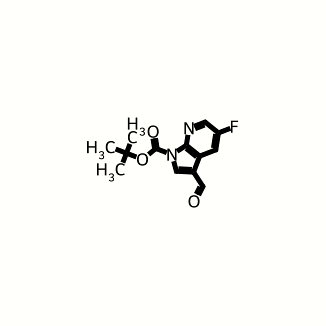 CC(C)(C)OC(=O)n1cc(C=O)c2cc(F)cnc21